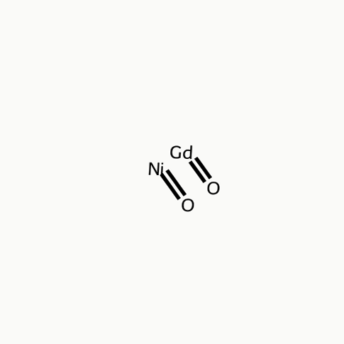 [O]=[Gd].[O]=[Ni]